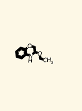 CCOC1COc2ccccc2N1